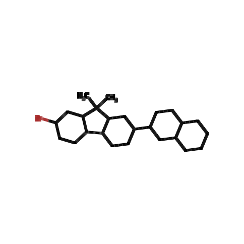 CC1(C)C2CC(Br)CCC2C2CCC(C3CCC4CCCCC4C3)CC21